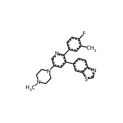 Cc1cc(-c2ncc(N3CCN(C)CC3)cc2-c2ccc3ncsc3c2)ccc1F